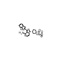 CS(=O)(=O)NC(=O)[C@H]1CC[C@H](c2nc(-c3cc4ccccc4[nH]3)c3c(N)nccn32)CC1